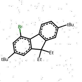 CCC1(CC)c2cc(C(C)(C)C)ccc2-c2c(Br)cc(C(C)(C)C)cc21